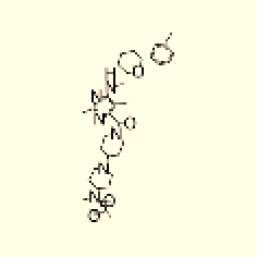 Cc1cccc([C@H]2CCC[C@@H](CNc3nc(C)nc(C(=O)N4CCC(N5CCC(N(C)S(C)(=O)=O)CC5)CC4)c3C)O2)c1